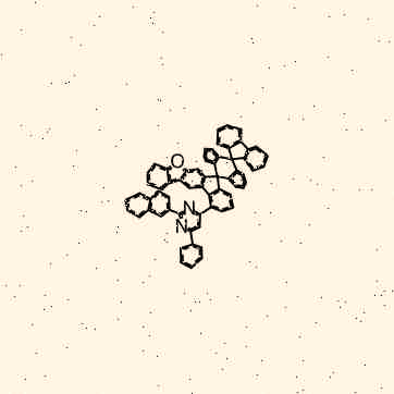 c1ccc(-c2cc(-c3cccc4c3-c3cc5c(cc3C43c4ccccc4C4(c6ccccc6-c6ccccc64)c4ccccc43)oc3ccccc35)nc(-c3ccc4ccccc4c3)n2)cc1